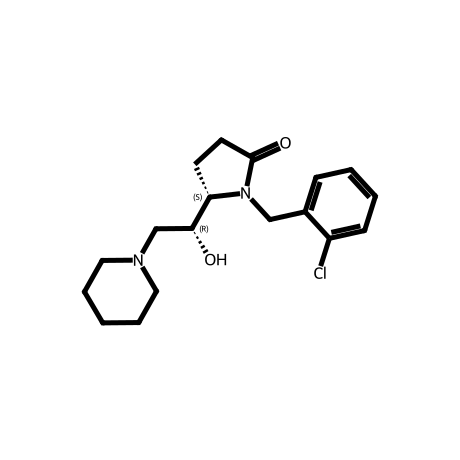 O=C1CC[C@@H]([C@H](O)CN2CCCCC2)N1Cc1ccccc1Cl